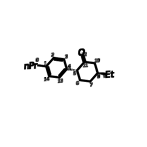 CCCc1ccc([C@H]2CC[C@H](CC)CC2=O)cc1